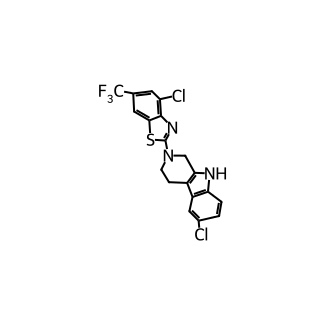 FC(F)(F)c1cc(Cl)c2nc(N3CCc4c([nH]c5ccc(Cl)cc45)C3)sc2c1